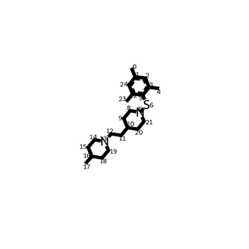 Cc1cc(C)c(SN2CCC(CCN3CCC(C)CC3)CC2)c(C)c1